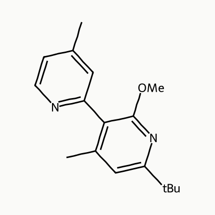 COc1nc(C(C)(C)C)cc(C)c1-c1cc(C)ccn1